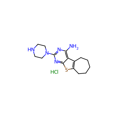 Cl.Nc1nc(N2CCNCC2)nc2sc3c(c12)CCCCC3